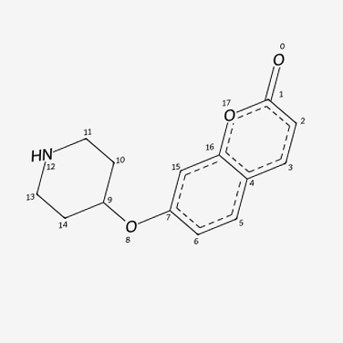 O=c1ccc2ccc(OC3CCNCC3)cc2o1